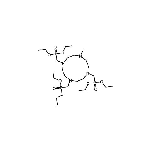 CCOP(=O)(CN1CCN(C)CCN(CP(=O)(OCC)OCC)CCN(CP(=O)(OCC)OCC)CC1)OCC